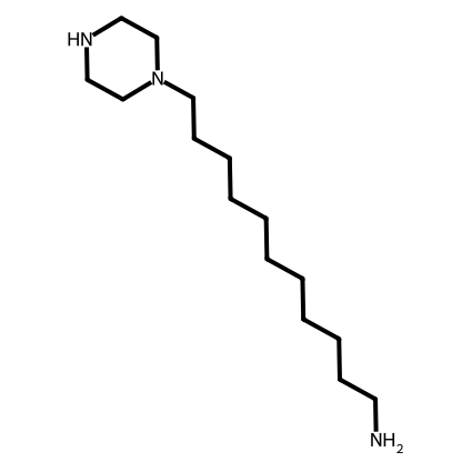 NCCCCCCCCCCCN1CCNCC1